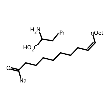 CC(C)CC(N)C(=O)O.CCCCCCCC/C=C\CCCCCCC[C](=O)[Na]